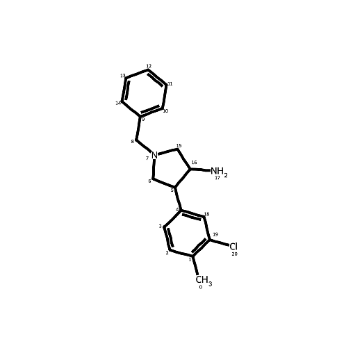 Cc1ccc(C2CN(Cc3ccccc3)CC2N)cc1Cl